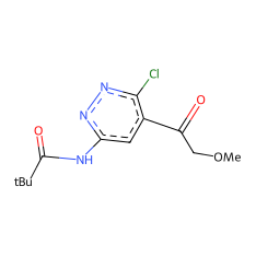 COCC(=O)c1cc(NC(=O)C(C)(C)C)nnc1Cl